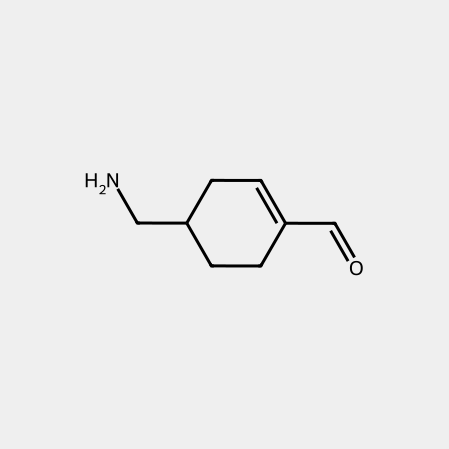 NCC1CC=C(C=O)CC1